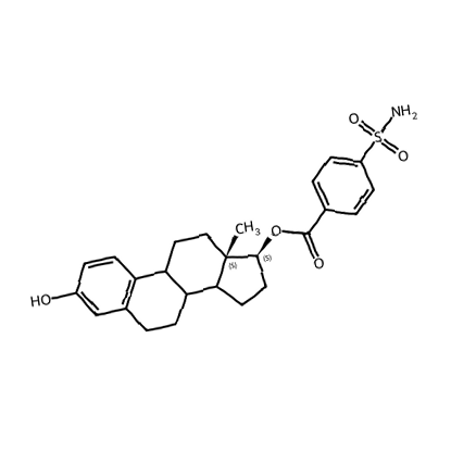 C[C@]12CCC3c4ccc(O)cc4CCC3C1CC[C@@H]2OC(=O)c1ccc(S(N)(=O)=O)cc1